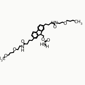 [2H]NC(=O)OCC1c2cc(CCCC(=O)NCCOCCCC)ccc2-c2ccc(CCCC(=O)NCCOCCCOC)cc21